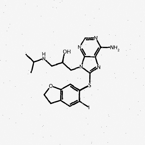 CC(C)NCC(O)Cn1c(Sc2cc3c(cc2I)CCO3)nc2c(N)ncnc21